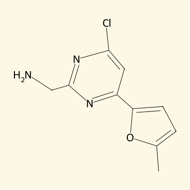 Cc1ccc(-c2cc(Cl)nc(CN)n2)o1